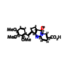 COc1ccc(C=C2CCc3c2nc2ccc(C(=O)O)cn2c3=O)c(OC)c1OC